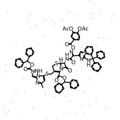 CC(=O)Oc1ccc(C(=O)ON=C(C(=O)N[C@@H]2C(=O)N3C(C(=O)OC(c4ccccc4)c4ccccc4)=C(CSC4=CC(C)=NC5=CN(C(=O)OC(c6ccccc6)c6ccccc6)NN54)CS[C@H]23)c2csc(NC(c3ccccc3)(c3ccccc3)c3ccccc3)n2)cc1OC(C)=O